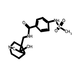 CS(=O)(=O)Nc1ccc(C(=O)NCC2(O)CN3CCC2CC3)cc1